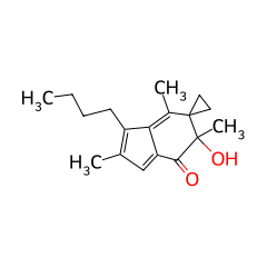 CCCCC1=C(C)C=C2C(=O)C(C)(O)C3(CC3)C(C)=C21